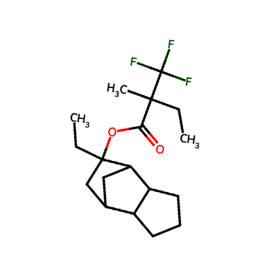 CCC1(OC(=O)C(C)(CC)C(F)(F)F)CC2CC1C1CCCC21